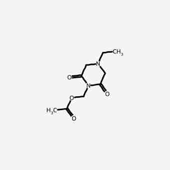 CCN1CC(=O)N(COC(C)=O)C(=O)C1